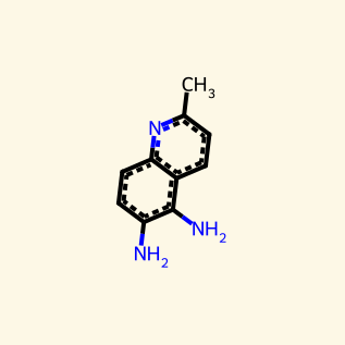 Cc1ccc2c(N)c(N)ccc2n1